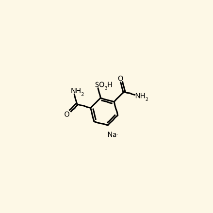 NC(=O)c1cccc(C(N)=O)c1S(=O)(=O)O.[Na]